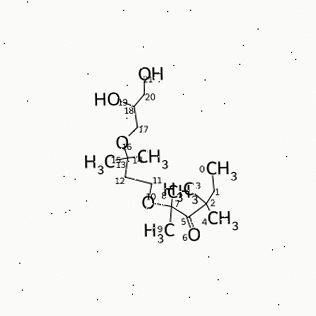 CCC(C)(C)C(=O)C(C)(C)OCCC(C)(C)OCC(O)CO